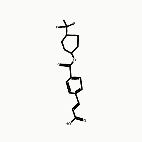 O=C(O)/C=C/c1ccc(C(=O)OC2CCC(C(F)(F)F)CC2)cc1